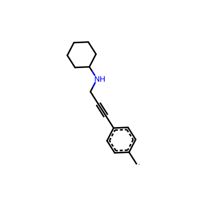 [CH2]c1ccc(C#CCNC2CCCCC2)cc1